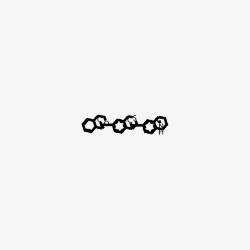 C1=CC2C3COC(C(c4ccc5c(c4)C4CC(c6ccc7c(c6)C6CCC7NC6)C5CS4)C3)C2C=C1